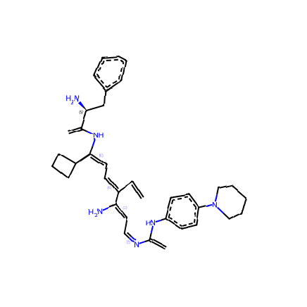 C=CC(=C\C=C(\NC(=C)[C@@H](N)Cc1ccccc1)C1CCC1)/C(N)=C/C=N\C(=C)Nc1ccc(N2CCCCC2)cc1